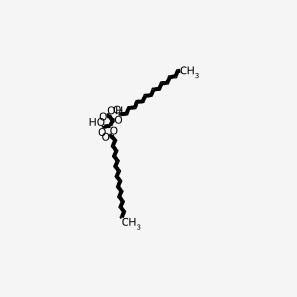 CCCCCCCCCCCCCCCCCC(=O)OC(C(=O)O)C(OC(=O)CCCCCCCCCCCCCCC)C(=O)O